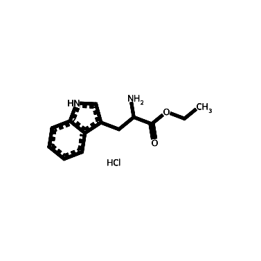 CCOC(=O)C(N)Cc1c[nH]c2ccccc12.Cl